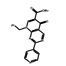 CC(C)COC(=O)c1cn(CC(C)C)c2nc(-c3ccncc3)ncc2c1=O